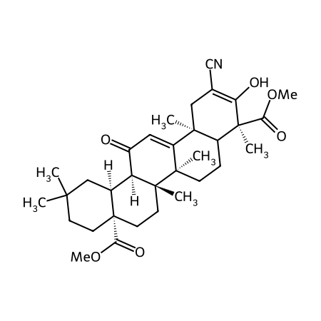 COC(=O)[C@]1(C)C(O)=C(C#N)C[C@]2(C)C3=CC(=O)[C@@H]4[C@@H]5CC(C)(C)CC[C@]5(C(=O)OC)CC[C@@]4(C)[C@]3(C)CCC12